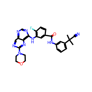 CC(C)(C#N)c1cccc(NC(=O)c2ccc(F)c(Nc3ncnc4cnc(N5CCOCC5)nc34)c2)c1